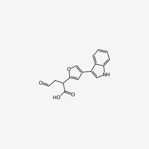 O=CCC(C(=O)O)c1cc(-c2c[nH]c3ccccc23)co1